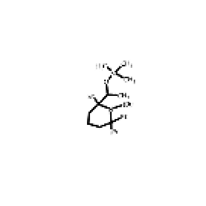 CCC1(C(C)C)CCCC(CC)(C(C)O[Si](C)(C)C)N1C(C)(C)C